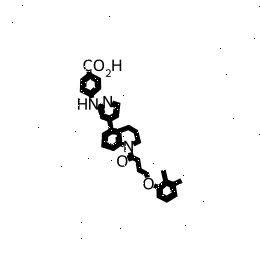 Cc1cccc(OCCCC(=O)N2CCCc3c(-c4ccnc(Nc5ccc(C(=O)O)cc5)c4)cccc32)c1C